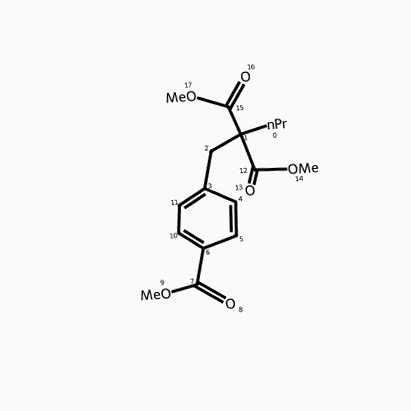 CCCC(Cc1ccc(C(=O)OC)cc1)(C(=O)OC)C(=O)OC